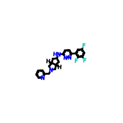 Fc1cc(F)c(F)c(-c2ccc(NC3C[C@@H]4CN(Cc5ccccn5)C[C@@H]4C3)nn2)c1